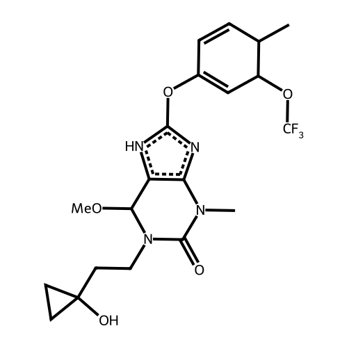 COC1c2[nH]c(OC3=CC(OC(F)(F)F)C(C)C=C3)nc2N(C)C(=O)N1CCC1(O)CC1